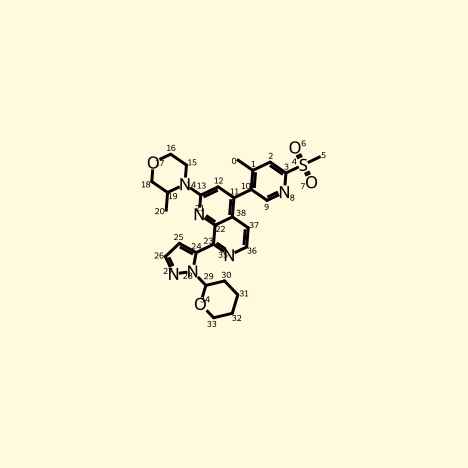 Cc1cc(S(C)(=O)=O)ncc1-c1cc(N2CCOCC2C)nc2c(-c3ccnn3C3CCCCO3)nccc12